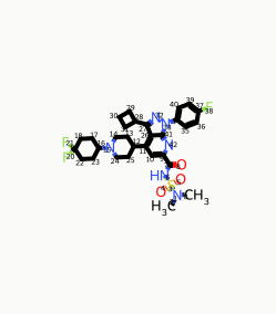 CN(C)S(=O)(=O)NC(=O)c1cc(C2CCN(C3CCC(F)(F)CC3)CC2)c2c(C3CCC3)nn(-c3ccc(F)cc3)c2n1